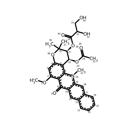 COc1cc2c(c3c1c(=O)c1cc4ccccc4cc1n3C)[C@H](OC(C)=O)[C@H](OC(=O)C(O)CO)C(C)(C)O2